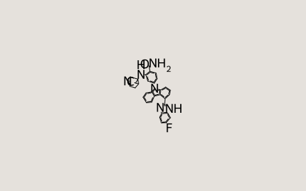 NC(=O)c1ccc(-n2c3ccccc3c3c(-c4nc5ccc(F)cc5[nH]4)cccc32)cc1NC1CN2CCC1CC2